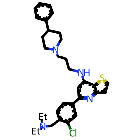 CCN(CC)Cc1ccc(-c2cc(NCCCN3CCC(c4ccccc4)CC3)c3sccc3n2)cc1Cl